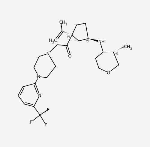 C=C(C)[C@]1(C(=O)CN2CCN(c3cccc(C(F)(F)F)n3)CC2)CC[C@@H](NC2CCOC[C@H]2C)C1